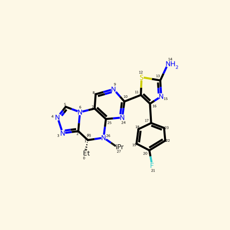 CC[C@@H]1c2nncn2-c2cnc(-c3sc(N)nc3-c3ccc(F)cc3)nc2N1C(C)C